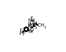 Cc1nc(OC(F)(F)F)c(C(=O)N(Br)c2ccc(C(F)(F)F)cc2Br)s1